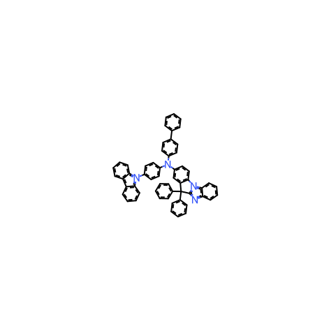 c1ccc(-c2ccc(N(c3ccc(-n4c5ccccc5c5ccccc54)cc3)c3ccc4c(c3)C(c3ccccc3)(c3ccccc3)c3nc5ccccc5n3-4)cc2)cc1